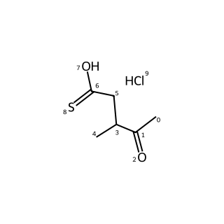 CC(=O)C(C)CC(O)=S.Cl